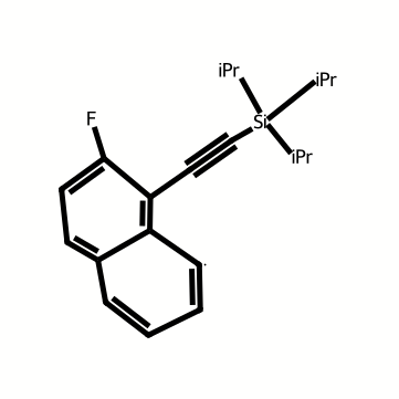 CC(C)[Si](C#Cc1c(F)ccc2ccc[c]c12)(C(C)C)C(C)C